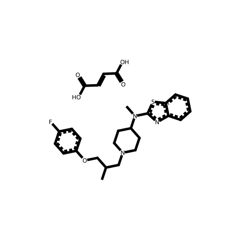 CC(COc1ccc(F)cc1)CN1CCC(N(C)c2nc3ccccc3s2)CC1.O=C(O)C=CC(=O)O